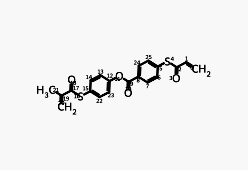 C=CC(=O)Sc1ccc(C(=O)Oc2ccc(SC(=O)C(=C)C)cc2)cc1